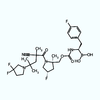 CC(C#N)(CC(C)(C)N1CCC(F)(F)C1)C(=O)N1C[C@@H](F)C[C@]1(C)COC(=O)N[C@@H](Cc1ccc(F)cc1)B(O)O